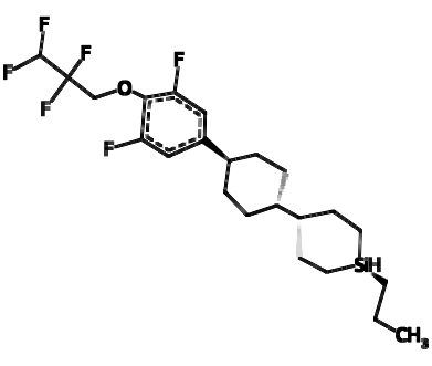 CCC[Si@H]1CC[C@H]([C@H]2CC[C@H](c3cc(F)c(OCC(F)(F)C(F)F)c(F)c3)CC2)CC1